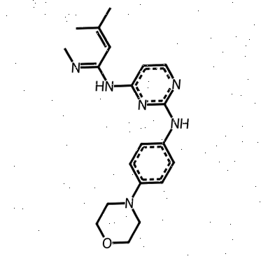 C/N=C(\C=C(C)C)Nc1ccnc(Nc2ccc(N3CCOCC3)cc2)n1